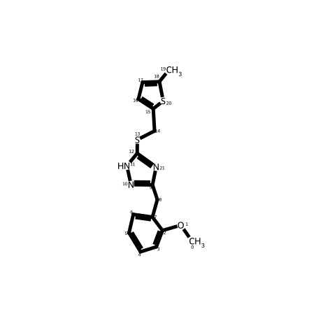 COc1ccccc1Cc1n[nH]c(SCc2ccc(C)s2)n1